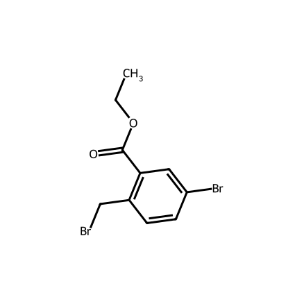 CCOC(=O)c1cc(Br)ccc1CBr